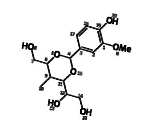 COc1cc(C2OC(CO)C(C)C(C(O)CO)O2)ccc1O